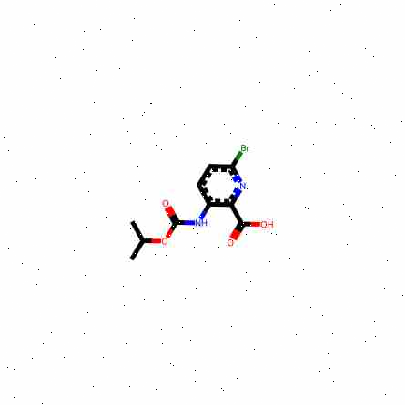 CC(C)OC(=O)Nc1ccc(Br)nc1C(=O)O